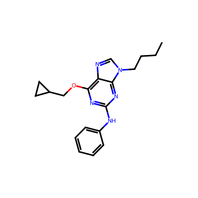 CCCCn1cnc2c(OCC3CC3)nc(Nc3ccccc3)nc21